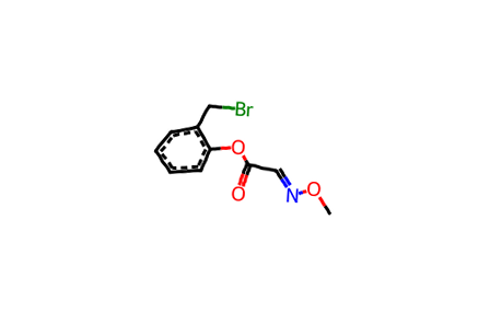 CON=CC(=O)Oc1ccccc1CBr